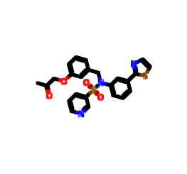 CC(=O)COc1cccc(CN(c2cccc(-c3nccs3)c2)S(=O)(=O)c2cccnc2)c1